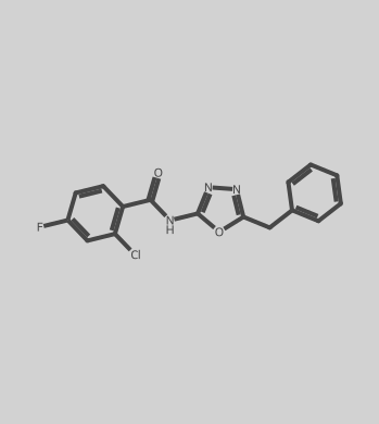 O=C(Nc1nnc(Cc2ccccc2)o1)c1ccc(F)cc1Cl